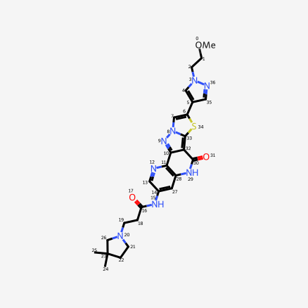 COCCn1cc(-c2cn3nc4c5ncc(NC(=O)CCN6CCC(C)(C)C6)cc5[nH]c(=O)c4c3s2)cn1